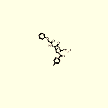 Cc1ccc(C(=O)N2CC3[C@H](NC(=O)COc4ccccc4)C(=O)N3C2C(=O)O)cc1